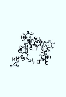 CCC[C@H](NC(=O)[C@@H]1C[C@@H]2CCCC[C@@H]2N1C(=O)[C@@H](NC(=O)[C@@H](NC(=O)c1cc(Cl)c(Cl)[nH]1)C1CCCCC1)C(C)(C)C)C(=O)C(=O)NC1CC1